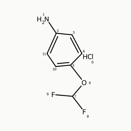 Cl.Nc1ccc(OC(F)F)cc1